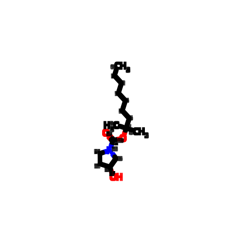 CCCCCCCC(C)(C)OC(=O)N1CCC(O)C1